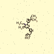 CC/C=C1/C(c2cnn([C@@H](C)CC)c2)=NC(c2cnn(CC(CO)N=O)c2)=CN1C